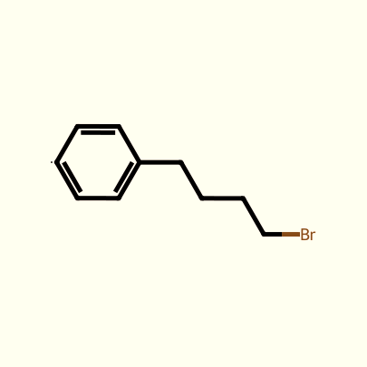 BrCCCCc1cc[c]cc1